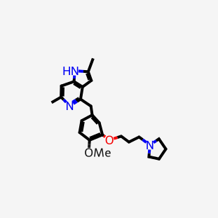 COc1ccc(Cc2nc(C)cc3[nH]c(C)cc23)cc1OCCCN1CCCC1